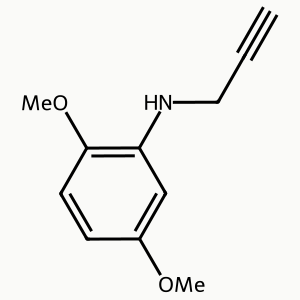 C#CCNc1cc(OC)ccc1OC